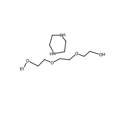 C1CNCCN1.CCOCCOCCOCCO